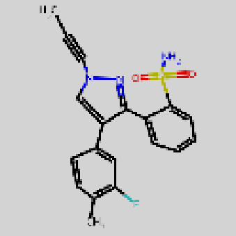 CC#Cn1cc(-c2ccc(C)c(F)c2)c(-c2ccccc2S(N)(=O)=O)n1